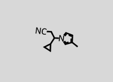 Cc1ccn(C(CC#N)C2CC2)c1